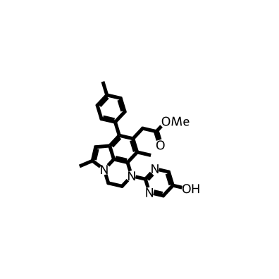 COC(=O)Cc1c(C)c2c3c(cc(C)n3CCN2c2ncc(O)cn2)c1-c1ccc(C)cc1